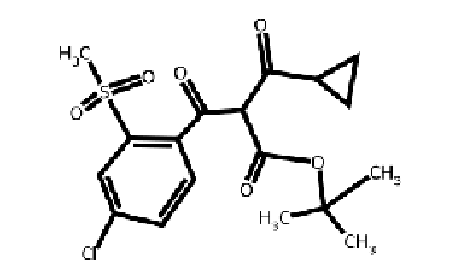 CC(C)(C)OC(=O)C(C(=O)c1ccc(Cl)cc1S(C)(=O)=O)C(=O)C1CC1